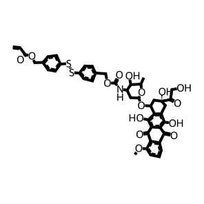 C=CC(=O)OCc1ccc(SSc2ccc(COC(=O)NC3CC(OC4C[C@@](O)(C(=O)CO)Cc5c(O)c6c(c(O)c54)C(=O)c4c(OC)cccc4C6=O)OC(C)C3O)cc2)cc1